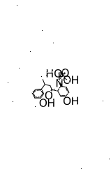 CC(CC(=O)C1C=C(O)C=CC1=NP(=O)(O)O)c1cccc(O)c1